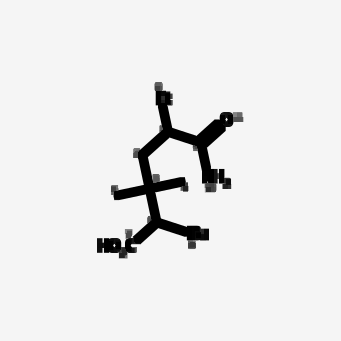 CCC(CC(C)(C)C(C(=O)O)C(C)CC)C(N)=O